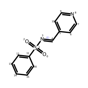 O=S(=O)(/N=C/c1ccncc1)c1ccccc1